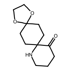 O=C1CCCNC12CCC1(CC2)OCCO1